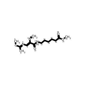 C=N/C(=C\N=C(/C)SC)C(=O)NCCCCCC(=O)OC